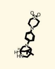 CC1(C)C[C@@H]2CN(c3ccc(N4CCS(=O)(=O)CC4)cc3)C1CCN2